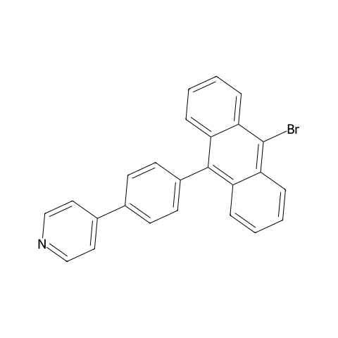 Brc1c2ccccc2c(-c2ccc(-c3ccncc3)cc2)c2ccccc12